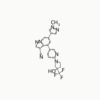 Cn1cc(-c2cc(-c3ccc(N4CC[C@](O)(C(F)(F)F)C4)nc3)c3c(C#N)cnn3c2)cn1